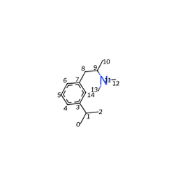 CC(C)c1cccc(CC(C)N(C)C)c1